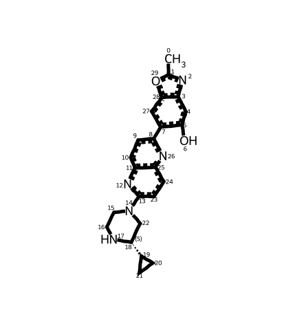 Cc1nc2cc(O)c(-c3ccc4nc(N5CCN[C@@H](C6CC6)C5)ccc4n3)cc2o1